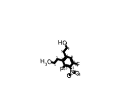 CCCc1c(CCO)cc(F)c([N+](=O)[O-])c1F